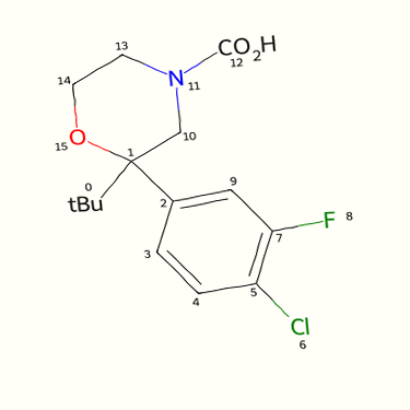 CC(C)(C)C1(c2ccc(Cl)c(F)c2)CN(C(=O)O)CCO1